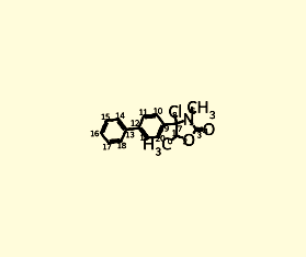 CC1OC(=O)N(C)C1(Cl)c1ccc(-c2ccccc2)cc1